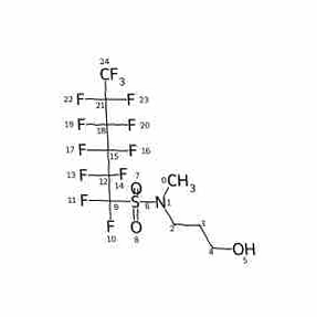 CN(CCCO)S(=O)(=O)C(F)(F)C(F)(F)C(F)(F)C(F)(F)C(F)(F)C(F)(F)F